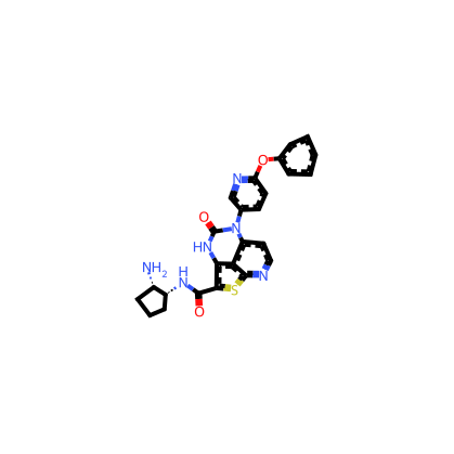 N[C@H]1CCC[C@H]1NC(=O)c1sc2nccc3c2c1NC(=O)N3c1ccc(Oc2ccccc2)nc1